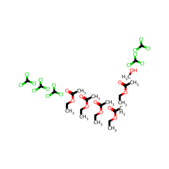 CCOC(C)=O.CCOC(C)=O.CCOC(C)=O.CCOC(C)=O.CCOC(C)=O.CO.ClC(Cl)Cl.ClC(Cl)Cl.ClC(Cl)Cl.ClC(Cl)Cl.ClC(Cl)Cl